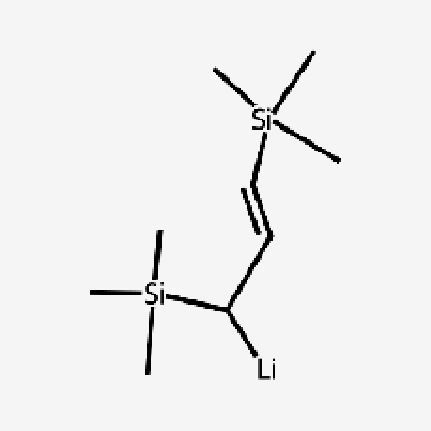 [Li][CH](C=C[Si](C)(C)C)[Si](C)(C)C